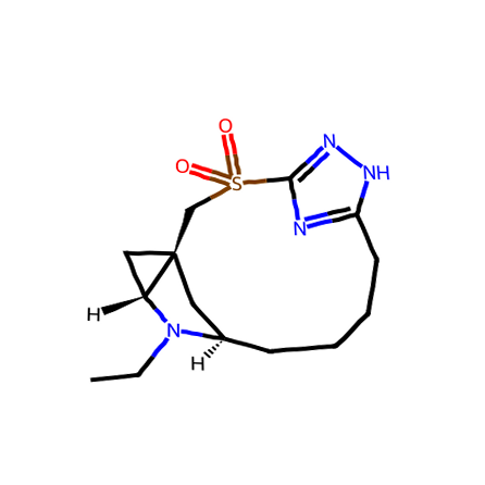 CCN1[C@@H]2CCCCc3nc(n[nH]3)S(=O)(=O)C[C@]3(C2)C[C@@H]13